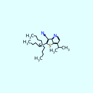 CCC[CH2][Sn]([CH2]CCC)([CH2]CCC)[c]1sc2c(C(C)C)ccnc2c1C#N